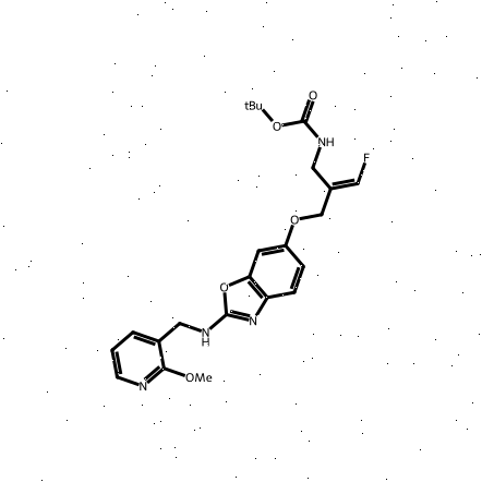 COc1ncccc1CNc1nc2ccc(OCC(=CF)CNC(=O)OC(C)(C)C)cc2o1